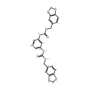 O=C(OCc1ccc2c(c1)OCO2)Oc1cncc(OC(=O)OCc2ccc3c(c2)OCO3)c1